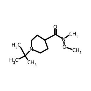 CON(C)C(=O)C1CCN(C(C)(C)C)CC1